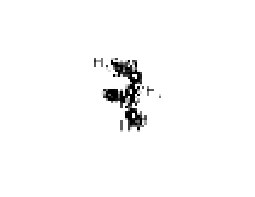 Cc1c(-c2cccc(S(=O)(=O)CC(C)O)c2)sc2c(N3CCOCC3)nc(-c3cnc4[nH]ccc4c3)nc12